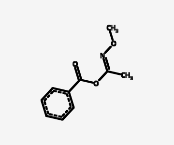 CON=C(C)OC(=O)c1ccccc1